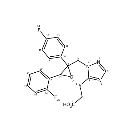 O=C(O)CSc1ncnn1CC1(c2ccc(F)cc2)OC1c1ccccc1F